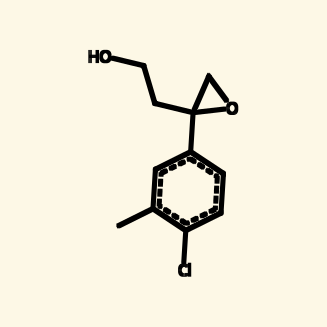 Cc1cc(C2(CCO)CO2)ccc1Cl